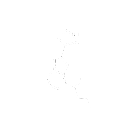 CCOC(=O)c1cccc2[nH]c(-c3cc[nH]n3)cc12